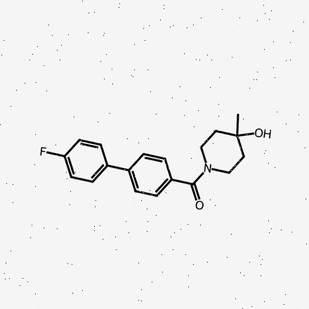 CC1(O)CCN(C(=O)c2ccc(-c3ccc(F)cc3)cc2)CC1